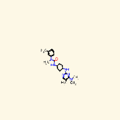 Cc1cccc(N(C)C(=O)NC2CCC(Nc3ncc(C)c(N(C)C)n3)CC2)c1